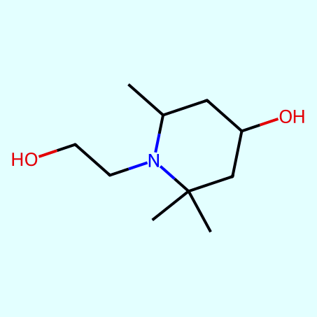 CC1CC(O)CC(C)(C)N1CCO